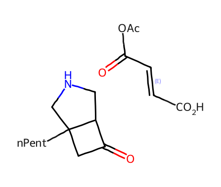 CC(=O)OC(=O)/C=C/C(=O)O.CCCCCC12CNCC1C(=O)C2